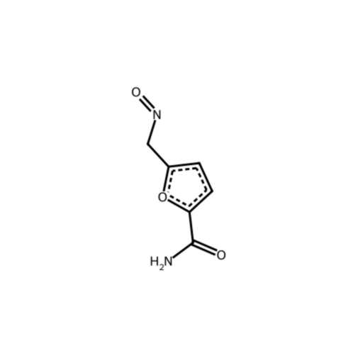 NC(=O)c1ccc(CN=O)o1